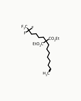 C=CCCCCCCC(CCCCC(F)(F)C(F)(F)F)(C(=O)OCC)C(=O)OCC